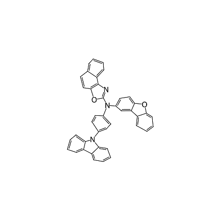 c1ccc2c(c1)ccc1oc(N(c3ccc(-n4c5ccccc5c5ccccc54)cc3)c3ccc4oc5ccccc5c4c3)nc12